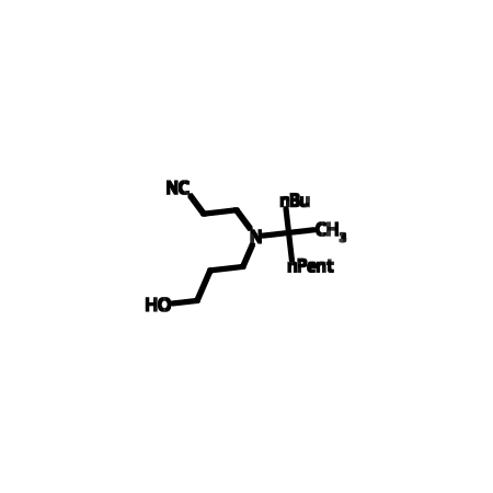 CCCCCC(C)(CCCC)N(CCC#N)CCCO